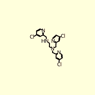 Clc1ccnc(CNCCN(Cc2cc(Cl)ccn2)Cc2cc(Cl)ccn2)c1